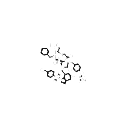 C=CCN1CC(=O)N2[C@@H](Cc3ccc(OP(=O)(O)O)cc3)C(=O)N(Cc3cccc4ccn(S(=O)(=O)c5ccc(Cl)cc5)c34)C[C@@H]2N1C(=O)NCc1ccccc1